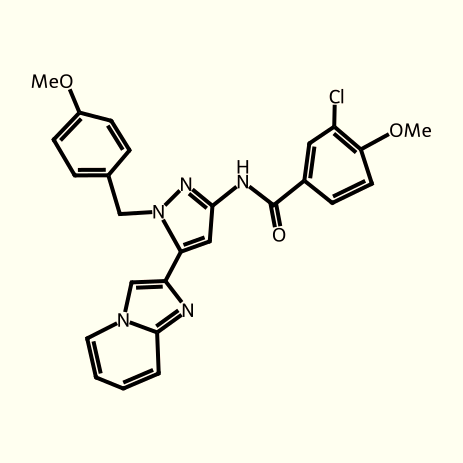 COc1ccc(Cn2nc(NC(=O)c3ccc(OC)c(Cl)c3)cc2-c2cn3ccccc3n2)cc1